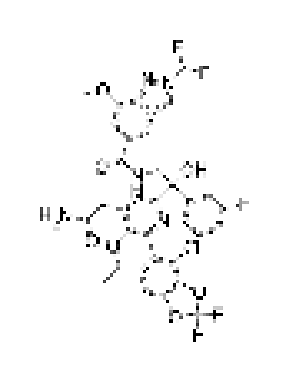 CCOc1c(CC(N)=O)cc([C@@](O)(CNC(=O)c2cc(OC)c3nn(C(F)F)cc3c2)c2cccc(F)c2)nc1-c1ccc2c(c1Cl)OC(F)(F)O2